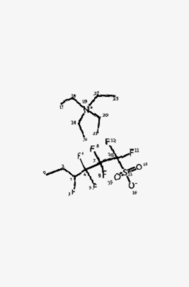 CCC(F)C(F)(F)C(F)(F)C(F)(F)S(=O)(=O)[O-].CC[N+](CC)(CC)CC